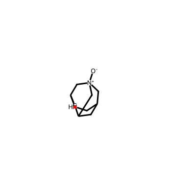 [O-][N+]12CC3CNC(CC(C3)C1)C2